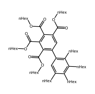 CCCCCCOC(=O)c1cc(-c2cc(CCCCCC)c(CCCCCC)c(CCCCCC)c2CCCCCC)c(C(=O)OCCCCCC)c(C(=O)OCCCCCC)c1C(=O)OCCCCCC